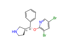 Brc1cnc(O[C@@H](c2ccccc2)[C@H]2CCNC2)c(Br)c1